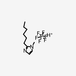 CCCCCCc1nccn1C.F[P-](F)(F)(F)(F)F.[H+]